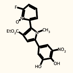 CCOC(=O)c1cc(-c2cc(O)c(O)c([N+](=O)[O-])c2)n(C)c1-c1cccc(F)[n+]1[O-]